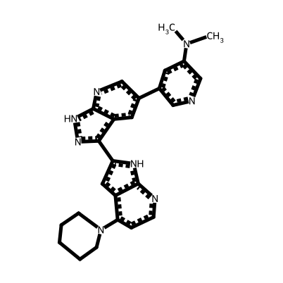 CN(C)c1cncc(-c2cnc3[nH]nc(-c4cc5c(N6CCCCC6)ccnc5[nH]4)c3c2)c1